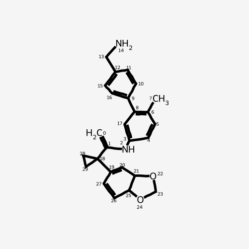 C=C(Nc1ccc(C)c(-c2ccc(CN)cc2)c1)C1(C2=CC3OCOC3C=C2)CC1